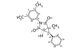 Cc1cc(C)cc(N2C(=O)[C@@H]3[C@H](c4ccccc4)[C@]3(C)C2=O)c1